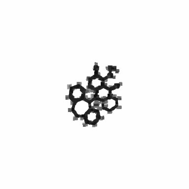 O=C1c2c(OP)c(=O)ccn2N(C2c3ccccc3CCc3ccccc32)[C@@H]2CCCCN12